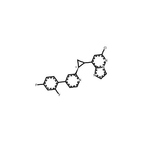 Fc1ccc(-c2ccnc([C@H]3CC3c3cc(Cl)nn4ccnc34)c2)c(F)c1